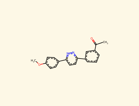 COc1ccc(-c2ccc(-c3cccc(C(C)=O)c3)nn2)cc1